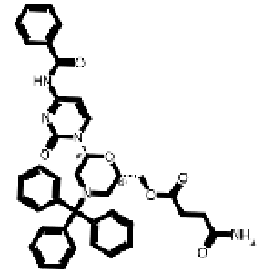 NC(=O)CCC(=O)OC[C@@H]1CN(C(c2ccccc2)(c2ccccc2)c2ccccc2)C[C@H](n2ccc(NC(=O)c3ccccc3)nc2=O)O1